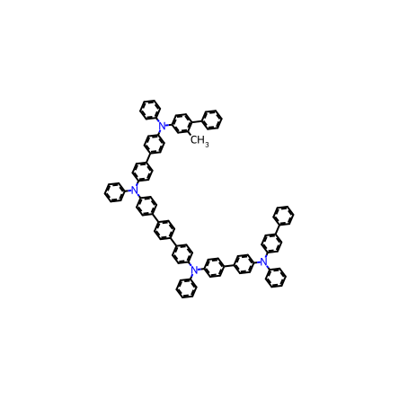 Cc1cc(N(c2ccccc2)c2ccc(-c3ccc(N(c4ccccc4)c4ccc(-c5ccc(-c6ccc(N(c7ccccc7)c7ccc(-c8ccc(N(c9ccccc9)c9ccc(-c%10ccccc%10)cc9)cc8)cc7)cc6)cc5)cc4)cc3)cc2)ccc1-c1ccccc1